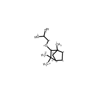 CCCC(O)COC1C2(C)CCC(C2)C1(C)C